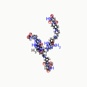 CN1C(=O)N([C@@H]2CCCN(c3cnc(C(N)=O)c(Nc4ccc(C5CN(CC6CCN(c7ccc8c(=O)n(C9CCC(=O)NC9=O)ccc8c7)CC6)C5)cc4)n3)C2)CC1NC(=O)c1ncc(N2CCC[C@H](N3CCOC3=O)C2)nc1Nc1ccc(N2CCC(C3CN(c4ccc5c(c4)C(=O)N(C4CCC(=O)NC4=O)C5=O)C3)CC2)cc1